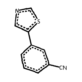 N#Cc1cccc(-c2cncs2)c1